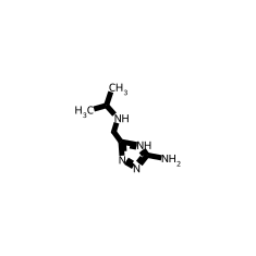 CC(C)NCc1nnc(N)[nH]1